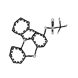 O=S(=O)(Oc1ccc2c3c1c1ccccc1n3-c1ccccc1O2)C(F)(F)F